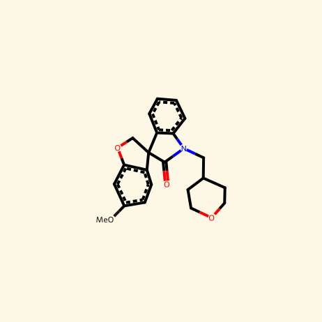 COc1ccc2c(c1)OCC21C(=O)N(CC2CCOCC2)c2ccccc21